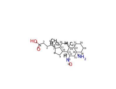 C/C(CCC(=O)O)=C1/CCC2[C@@H]3C(N=O)C[C@]4(N)CCCC[C@]4(C)C3CC[C@]12C